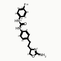 NC1=NC(CCc2ccc(NC(=O)Nc3ccc(F)cc3)cc2)CO1